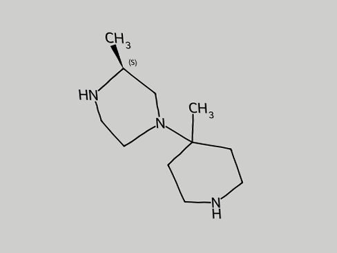 C[C@H]1CN(C2(C)CCNCC2)CCN1